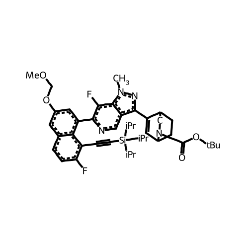 COCOc1cc(-c2ncc3c(C4=CC5CCC4CN5C(=O)OC(C)(C)C)nn(C)c3c2F)c2c(C#C[Si](C(C)C)(C(C)C)C(C)C)c(F)ccc2c1